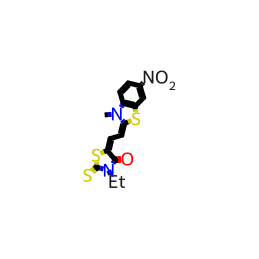 CCN1C(=O)C(=CC=C2Sc3cc([N+](=O)[O-])ccc3N2C)SC1=S